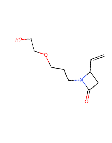 C=CC1CC(=O)N1CCCOCCO